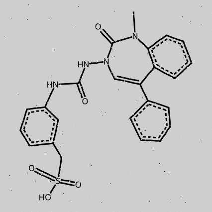 CN1C(=O)N(NC(=O)Nc2cccc(CS(=O)(=O)O)c2)C=C(c2ccccc2)c2ccccc21